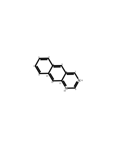 [c]1cccc2cc3cncnc3cc12